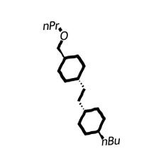 CCCC[C@H]1CC[C@H](CC[C@H]2CC[C@H](COCCC)CC2)CC1